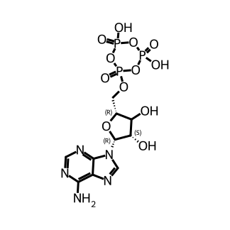 Nc1ncnc2c1ncn2[C@@H]1O[C@H](COP2(=O)OP(=O)(O)OP(=O)(O)O2)C(O)[C@@H]1O